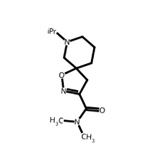 CC(C)N1CCCC2(CC(C(=O)N(C)C)=NO2)C1